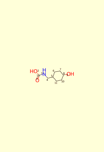 O=C(O)NCC1CCC(O)CC1